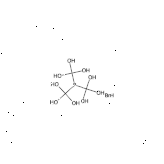 Br.OC(O)(O)P(C(O)(O)O)C(O)(O)O